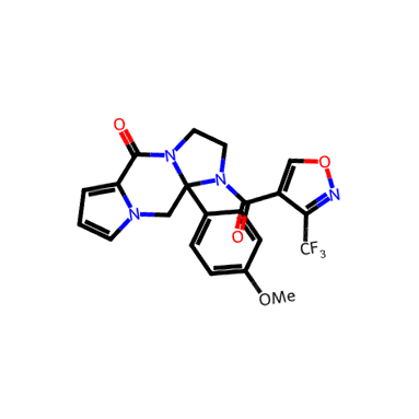 COc1ccc(C23Cn4cccc4C(=O)N2CCN3C(=O)c2conc2C(F)(F)F)cc1